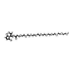 COCCOCCOCCOCCOCCOCCOCCOCCOCCOCCC(=O)NCC(C(C)=O)N1C(=O)C=CC1=O